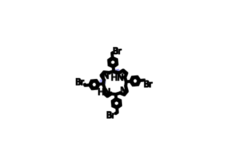 BrCc1ccc(/C2=C3\C=CC(N3)C(c3ccc(CBr)cc3)C3=NC(C=C3)C(c3ccc(CBr)cc3)c3ccc([nH]3)/C(c3ccc(CBr)cc3)=C3/C=CC2=N3)cc1